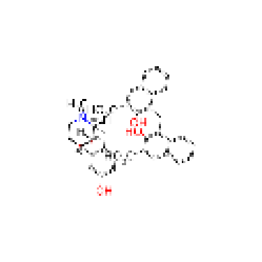 CN1CC[C@]23CCCC[C@H]2[C@H]1Cc1ccc(O)cc13.O=C(O)c1cc2ccccc2c(Cc2c(O)c(C(=O)O)cc3ccccc23)c1O